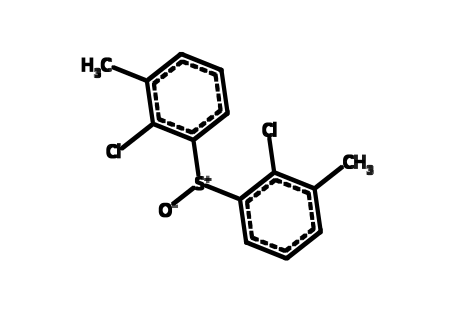 Cc1cccc([S+]([O-])c2cccc(C)c2Cl)c1Cl